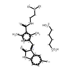 CCN(CC)CCNC(=O)c1c(C)[nH]c(/C=C2\C(=O)Nc3ccc(F)cc32)c1C.O=C(O)CCCCC(=O)O